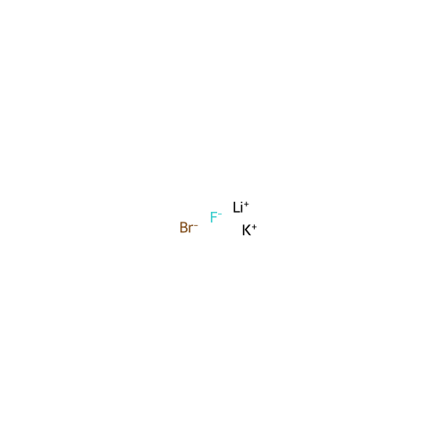 [Br-].[F-].[K+].[Li+]